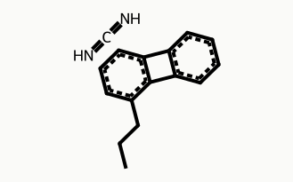 CCCc1cccc2c1-c1ccccc1-2.N=C=N